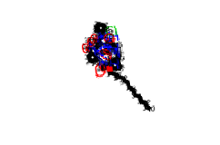 CCCCCCCCCCCCCCCC(=O)Nc1cccc2c(=O)n(OC)c(C(C(=O)Nc3ccccc3Cl)N3C(=O)CN(Cc4ccccc4)C3=O)nc12